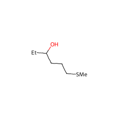 [CH2]CC(O)CCCSC